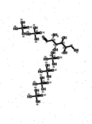 N[C@@H](C=O)[C@@H](O)[C@@H](O)[C@H](O)CO.O=P(O)(O)O.O=P(O)(O)O.O=P(O)(O)O.O=P(O)(O)O.O=P(O)(O)O.O=P(O)(O)O